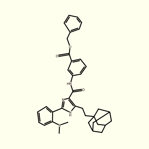 CN(C)c1ccccc1-c1nc(C(=O)Nc2cccc(C(=O)OCc3ccccc3)c2)c(CCC23CC4CC(CC(C4)C2)C3)[nH]1